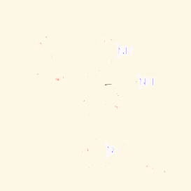 CCC(=O)NC[C@@H]1CNC[C@H](OCc2ccc3c(c2)N(CCCOC)CCO3)[C@H]1c1ccc(COCC(C)COC)cc1